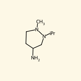 CC(C)N1CC(N)CCN1C